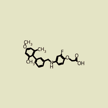 COc1cc(C)c(-c2cccc(CNc3ccc(OCC(=O)O)c(F)c3)c2)c(C)c1